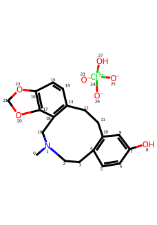 CN1CCc2ccc(O)cc2CCc2ccc3c(c2C1)OCO3.[O-][Cl+3]([O-])([O-])O